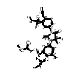 CCc1nc(OCC(=O)OC)c2cc(N3C(=S)N(c4ccc(C#N)c(C(F)(F)CC)c4)C(=O)C3(C)C)cc(F)c2n1